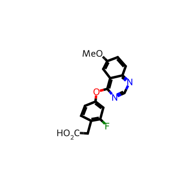 COc1ccc2ncnc(Oc3ccc(CC(=O)O)c(F)c3)c2c1